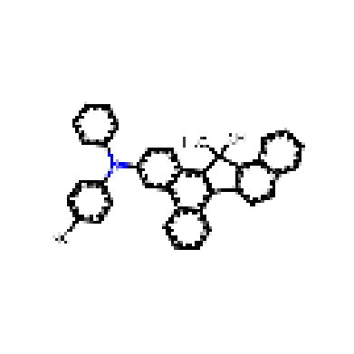 CC1(C)c2c(ccc3ccccc23)-c2c1c1ccc(N(c3ccccc3)c3ccc(C#N)cc3)cc1c1ccccc21